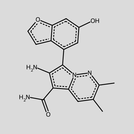 Cc1cc2c(C(N)=O)c(N)c(-c3cc(O)cc4occc34)n2nc1C